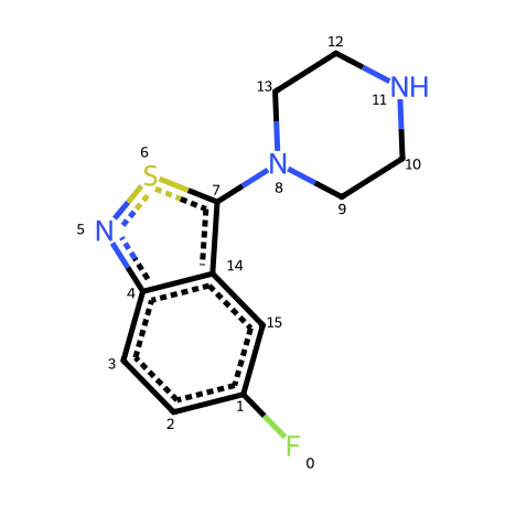 Fc1ccc2nsc(N3CCNCC3)c2c1